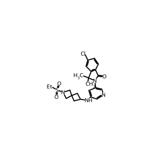 CCS(=O)(=O)N1CC2(CC(Nc3cncc(N4C(=O)c5ccc(Cl)cc5C4(C)C)c3)C2)C1